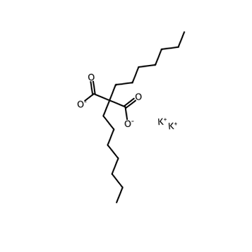 CCCCCCCC(CCCCCCC)(C(=O)[O-])C(=O)[O-].[K+].[K+]